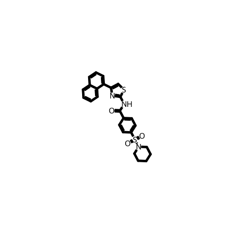 O=C(Nc1nc(-c2cccc3ccccc23)cs1)c1ccc(S(=O)(=O)N2CCCCC2)cc1